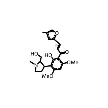 COc1cc(OC)c(C2CCN(C)C2CO)c(O)c1C(=O)/C=C/c1cc(C)co1